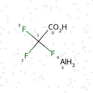 O=C(O)C(F)(F)F.[AlH3]